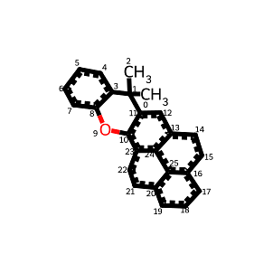 CC1(C)c2ccccc2Oc2c1cc1ccc3cccc4ccc2c1c34